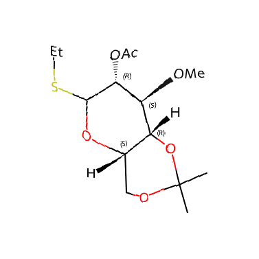 CCSC1O[C@H]2COC(C)(C)O[C@H]2[C@H](OC)[C@H]1OC(C)=O